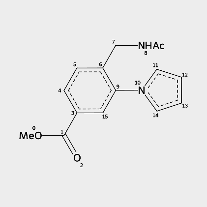 COC(=O)c1ccc(CNC(C)=O)c(-n2cccc2)c1